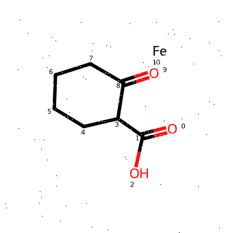 O=C(O)C1CCCCC1=O.[Fe]